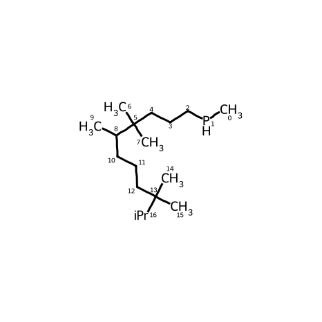 CPCCCC(C)(C)C(C)CCCC(C)(C)C(C)C